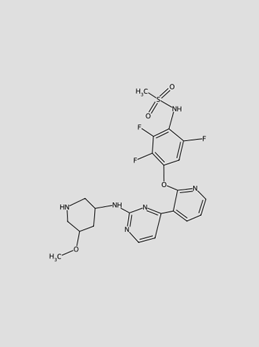 COC1CNCC(Nc2nccc(-c3cccnc3Oc3cc(F)c(NS(C)(=O)=O)c(F)c3F)n2)C1